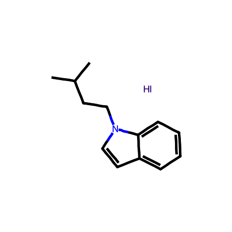 CC(C)CCn1ccc2ccccc21.I